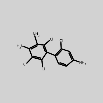 Nc1ccc(-c2c(Cl)c(N)c(N)c(Cl)c2Cl)c(Cl)c1